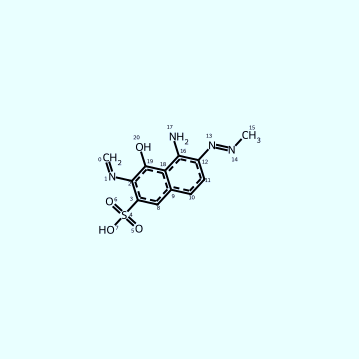 C=Nc1c(S(=O)(=O)O)cc2ccc(N=NC)c(N)c2c1O